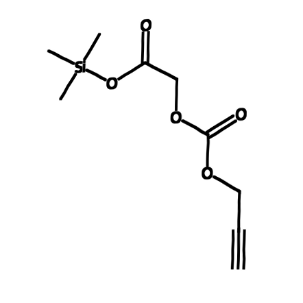 C#CCOC(=O)OCC(=O)O[Si](C)(C)C